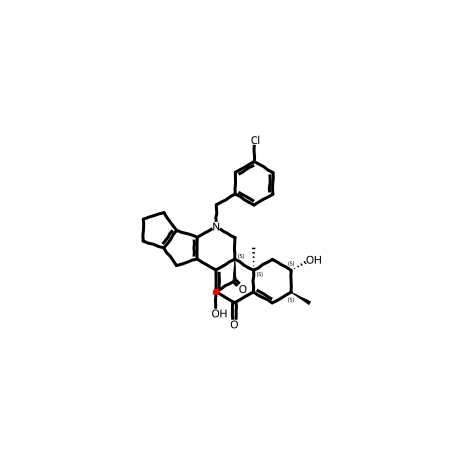 C[C@H]1C=C2C(=O)C=C3C4=C(C5=C(CCC5)C4)N(Cc4cccc(Cl)c4)C[C@]3(C(=O)CO)[C@@]2(C)C[C@@H]1O